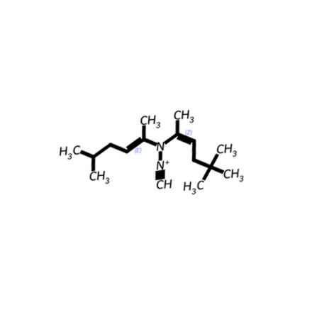 C#[N+]N(/C(C)=C\CC(C)(C)C)/C(C)=C/CC(C)C